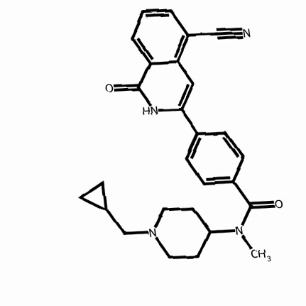 CN(C(=O)c1ccc(-c2cc3c(C#N)cccc3c(=O)[nH]2)cc1)C1CCN(CC2CC2)CC1